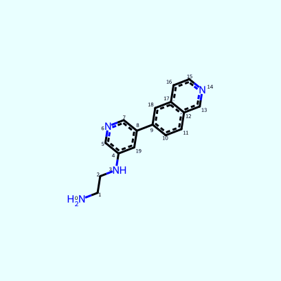 NCCNc1cncc(-c2ccc3cnccc3c2)c1